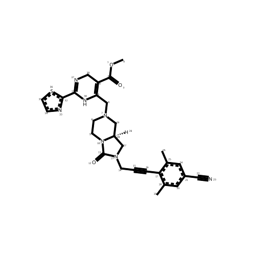 COC(=O)C1=C(CN2CCN3C(=O)N(CC#Cc4c(C)cc(C#N)cc4C)C[C@@H]3C2)NC(c2nccs2)=NC1